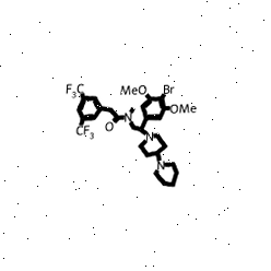 COc1cc(C(CN(C)C(=O)Cc2cc(C(F)(F)F)cc(C(F)(F)F)c2)N2CCC(N3CCCCC3)CC2)cc(OC)c1Br